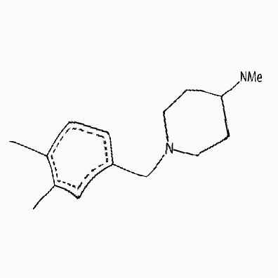 CNC1CCN(Cc2ccc(C)c(C)c2)CC1